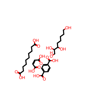 O=C(O)/C=C\C(=O)O.O=C(O)CCCCCCCCC(=O)O.O=C(O)c1ccc(C(=O)O)cc1.OCCCCCC(O)C(O)CO